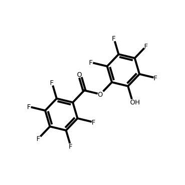 O=C(Oc1c(O)c(F)c(F)c(F)c1F)c1c(F)c(F)c(F)c(F)c1F